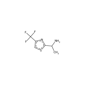 CC(N)c1nc(C(F)(F)F)cs1